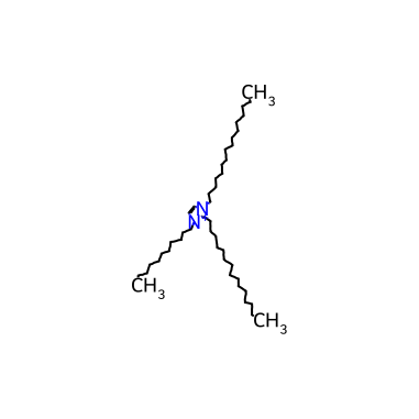 CCCCCCCCCCCCCCCCn1cc[n+](CCCCCCCCCCC)c1CCCCCCCCCCCCCCC